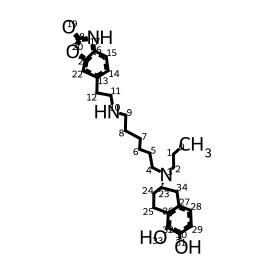 CCCN(CCCCCCNCCc1ccc2[nH]c(=O)oc2c1)[C@H]1CCc2c(ccc(O)c2O)C1